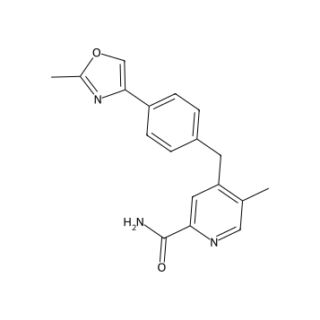 Cc1nc(-c2ccc(Cc3cc(C(N)=O)ncc3C)cc2)co1